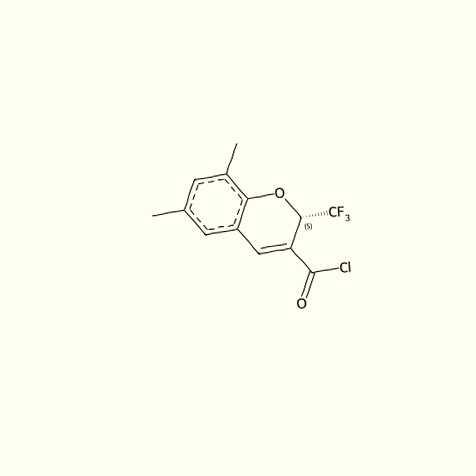 Cc1cc(C)c2c(c1)C=C(C(=O)Cl)[C@@H](C(F)(F)F)O2